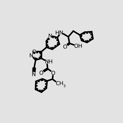 CC(OC(=O)Nc1c(C#N)noc1-c1ccc(NC(Cc2ccccc2)C(=O)O)nc1)c1ccccc1